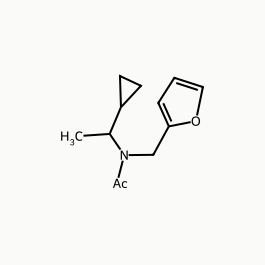 CC(=O)N(Cc1ccco1)C(C)C1CC1